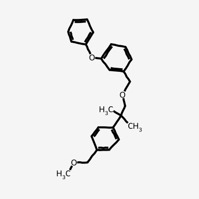 COCc1ccc(C(C)(C)COCc2cccc(Oc3ccccc3)c2)cc1